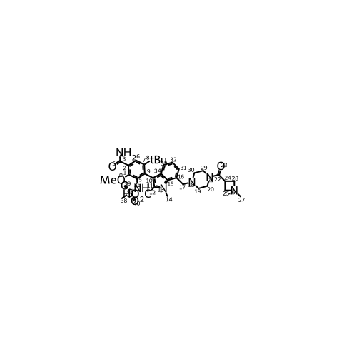 COc1c(C(N)=O)cc(C(C)(C)C)c(-c2c(C(=O)O)n(C)c3c(CN4CCN(C(=O)C5CN(C)C5)CC4)cccc23)c1NS(C)(=O)=O